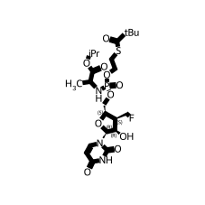 CC(C)OC(=O)C(C)NP(=O)(OCCSC(=O)C(C)(C)C)OC[C@H]1O[C@@H](n2ccc(=O)[nH]c2=O)[C@H](O)[C@@H]1CF